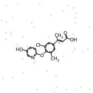 C/C(=C\C(=O)O)c1cc(C)c(Oc2ccc(O)cn2)c(Cl)c1